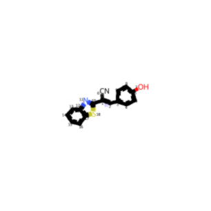 N#C/C(=C\c1ccc(O)cc1)c1nc2ccccc2s1